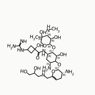 CN[C@@H]1[C@@H](O)[C@@H](O[C@H]2[C@H](NC(=O)C3(O)CC(NC(=N)N)C3)C[C@H](N)C(O[C@H]3OC(CNCC(O)CO)=CC[C@H]3N)[C@@H]2O)OC[C@]1(C)O